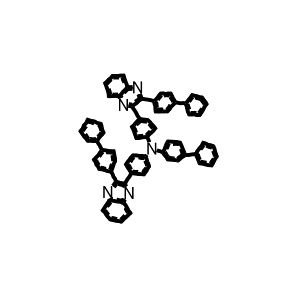 c1ccc(-c2ccc(-c3nc4ccccc4nc3-c3ccc(N(c4ccc(-c5ccccc5)cc4)c4ccc(-c5nc6ccccc6nc5-c5ccc(-c6ccccc6)cc5)cc4)cc3)cc2)cc1